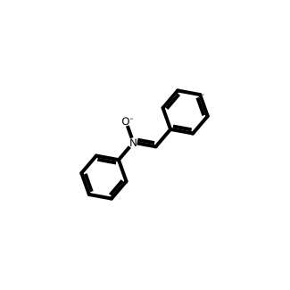 [O-][N+](=Cc1cc[c]cc1)c1ccccc1